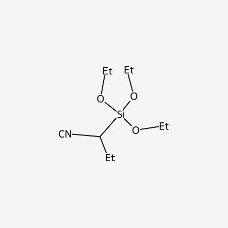 [C-]#[N+]C(CC)[Si](OCC)(OCC)OCC